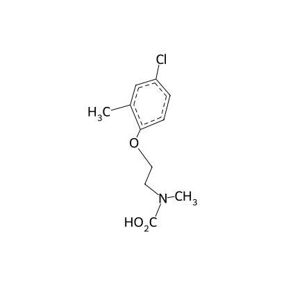 Cc1cc(Cl)ccc1OCCN(C)C(=O)O